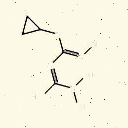 C/C(=N/C(=N/[N+](=O)[O-])NC1CC1)N(C)C